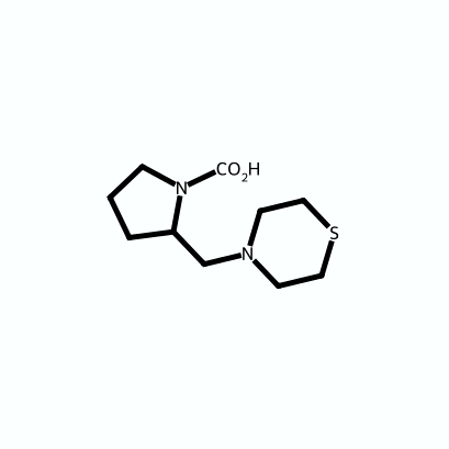 O=C(O)N1CCCC1CN1CCSCC1